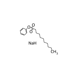 CCCCCCCCCCS(=O)(=O)Oc1ccccc1.[NaH]